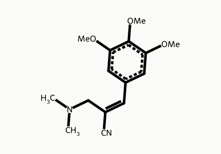 COc1cc(C=C(C#N)CN(C)C)cc(OC)c1OC